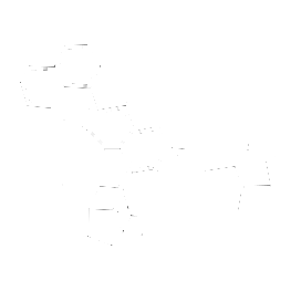 Cc1cccc2cccc(-c3ncc4c(N5C[C@H]6CC[C@@H](C5)N6)nc(OCC5CCCN5C)nc4c3F)c12